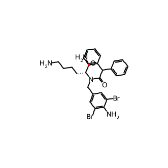 NCCCC[C@H](C(N)=O)N(Cc1cc(Br)c(N)c(Br)c1)C(=O)C(c1ccccc1)c1ccccc1